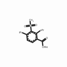 CCCc1c(C(=O)OC)ccc(C(C)C)c1S(C)(=O)=O